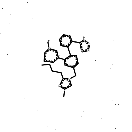 CCCCc1nc(C)cn1Cc1ccc(-c2ccccc2-c2nnn[nH]2)c(-c2ccc[n+]([O-])c2)c1